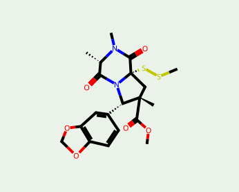 COC(=O)[C@@]1(C)C[C@]2(SSC)C(=O)N(C)[C@@H](C)C(=O)N2[C@H]1c1ccc2c(c1)OCO2